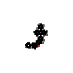 c1ccc(-c2ccc3oc4cc5ccc(-c6c7ccccc7c(-c7ccccc7)c7ccccc67)cc5cc4c3c2)cc1